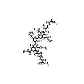 C=C(N)NCCC[C@@H](O)C(=O)Nc1cc(C(=O)OC(C)C)cc(NC(=O)c2cc(OCCN)cc(C(=O)Nc3cc(C(=O)OC(C)C)cc(NC(=O)[C@H](N)CCCNC(=N)N)c3SCCN)c2)c1SCCN